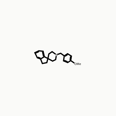 COc1ccc(CN2CCC3(CCc4ccccc43)CC2)cc1